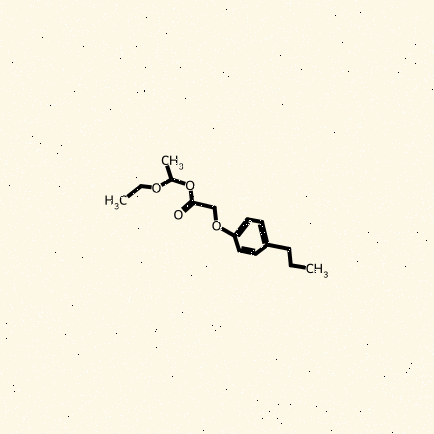 CCCc1ccc(OCC(=O)OC(C)OCC)cc1